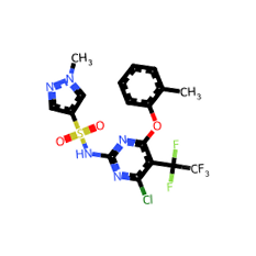 Cc1ccccc1Oc1nc(NS(=O)(=O)c2cnn(C)c2)nc(Cl)c1C(F)(F)C(F)(F)F